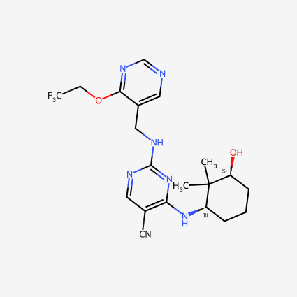 CC1(C)[C@@H](O)CCC[C@H]1Nc1nc(NCc2cncnc2OCC(F)(F)F)ncc1C#N